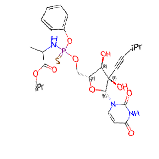 CC(C)C#C[C@@]1(O)[C@H](O)[C@@H](COP(=S)(NC(C)C(=O)OC(C)C)Oc2ccccc2)O[C@H]1n1ccc(=O)[nH]c1=O